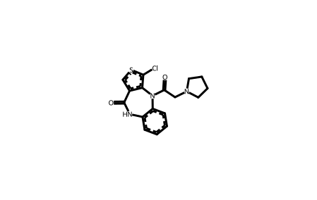 O=C1Nc2ccccc2N(C(=O)CN2CCCC2)c2c1csc2Cl